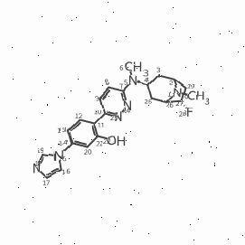 CN1C2C[C@H](N(C)c3ccc(-c4ccc(-n5ccnc5)cc4O)nn3)CC1[C@@H](F)C2